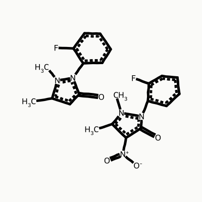 Cc1c([N+](=O)[O-])c(=O)n(-c2ccccc2F)n1C.Cc1cc(=O)n(-c2ccccc2F)n1C